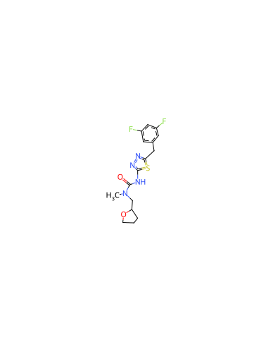 CN(CC1CCCO1)C(=O)Nc1nnc(Cc2cc(F)cc(F)c2)s1